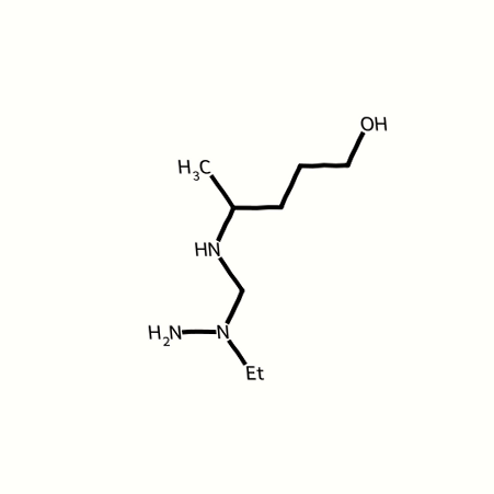 CCN(N)CNC(C)CCCO